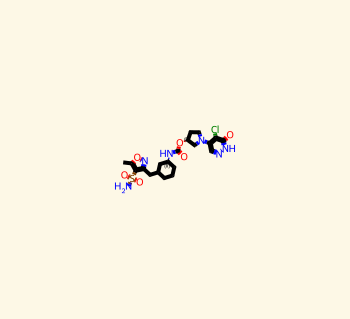 Cc1onc(CC2CCC[C@@H](NC(=O)O[C@@H]3CCN(c4cn[nH]c(=O)c4Cl)C3)C2)c1S(N)(=O)=O